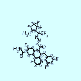 CC1=C(C(/N=N/CC(=O)N[C@@H](Cc2cc(F)cc(F)c2)c2ncccc2-c2ccc(F)c(C(N)=O)c2)C(F)(F)F)C2(F)CC2C1